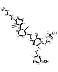 Cc1c(COc2cc(OCc3cncc(C#N)c3)c(CN(C)CC(C)(C)O)cc2Cl)cccc1-c1cccc(OCCCBr)c1Cl